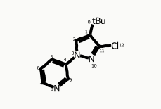 CC(C)(C)c1cn(-c2cccnc2)nc1Cl